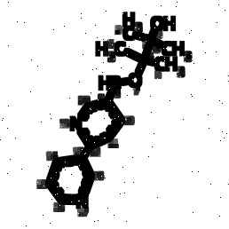 CC(C)(O)C(C)(C)OBc1ccc(-c2cccnc2)nc1